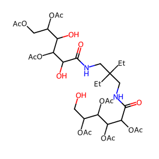 CCC(CC)(CNC(=O)C(O)C(OC(C)=O)C(O)C(COC(C)=O)OC(C)=O)CNC(=O)C(OC(C)=O)C(OC(C)=O)C(OC(C)=O)C(CO)OC(C)=O